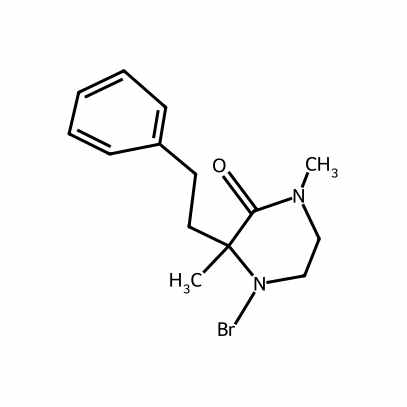 CN1CCN(Br)C(C)(CCc2ccccc2)C1=O